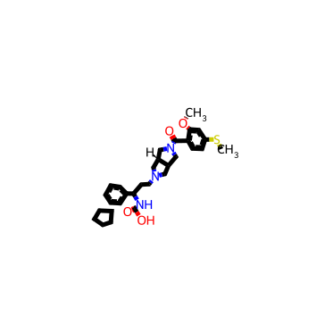 C1CCCC1.COc1cc(SC)ccc1C(=O)N1CC2CN(CCC(NC(=O)O)c3ccccc3)C[C@H]2C1